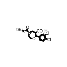 CC(C)(C)OC(=O)N1CCOC(c2ccc(Cl)c(Cl)c2)C(C(=O)O)C1